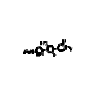 CNc1ccc(-c2cc(F)c(-c3ccn(CF)c(=O)c3)cc2O)nn1